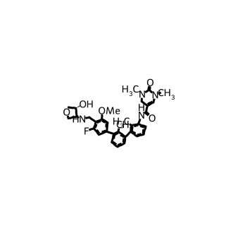 COc1cc(-c2cccc(-c3cccc(NC(=O)C4=CN(C)C(=O)N(C)C4)c3C)c2C)cc(F)c1CN[C@H]1COC[C@@H]1O